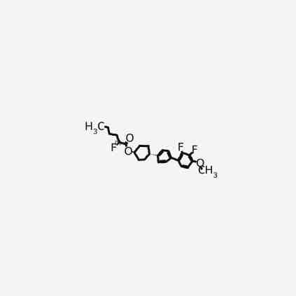 CCCC[C@H](F)C(=O)O[C@H]1CC[C@H](c2ccc(-c3ccc(OC)c(F)c3F)cc2)CC1